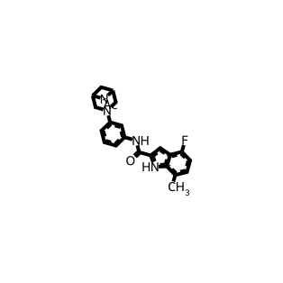 CC(=O)N1C2CC1CN(c1cccc(NC(=O)c3cc4c(F)ccc(C)c4[nH]3)c1)C2